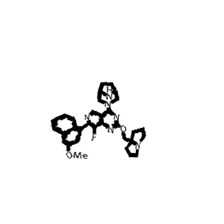 COc1cc(-c2ncc3c(N4CC5CCC(C4)N5)nc(OCC45CCCN4CCC5)nc3c2F)c2ccccc2c1